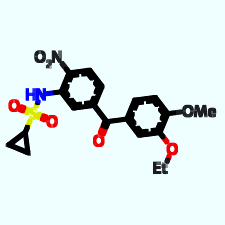 CCOc1cc(C(=O)c2ccc([N+](=O)[O-])c(NS(=O)(=O)C3CC3)c2)ccc1OC